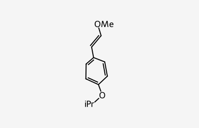 CO/C=C/c1ccc(OC(C)C)cc1